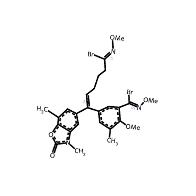 CO/N=C(\Br)CCC/C=C(\c1cc(C)c(OC)c(/C(Br)=N/OC)c1)c1cc(C)c2oc(=O)n(C)c2c1